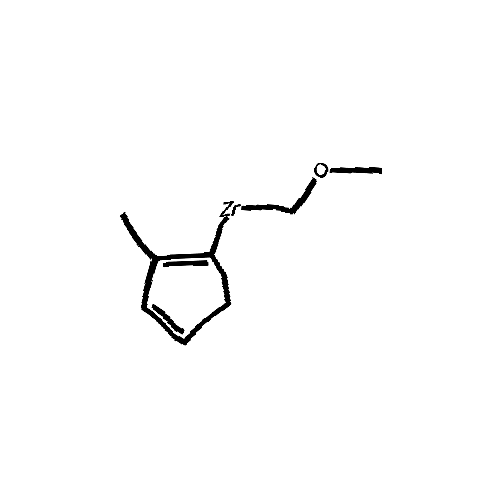 CO[CH2][Zr][C]1=C(C)C=CC1